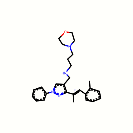 C/C(=C\c1ccccc1C)c1nn(-c2ccccc2)cc1CNCCCN1CCOCC1